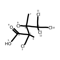 CC(Cl)(C(=O)O)C(C)(Cl)C(Cl)(Cl)Cl